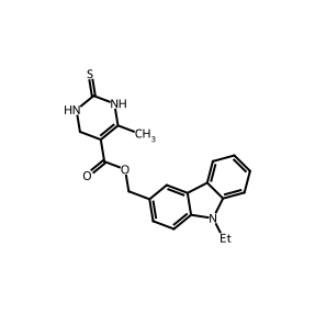 CCn1c2ccccc2c2cc(COC(=O)C3=C(C)NC(=S)NC3)ccc21